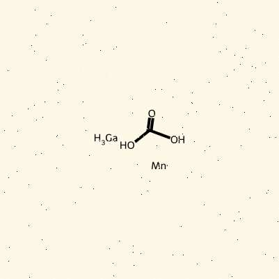 O=C(O)O.[GaH3].[Mn]